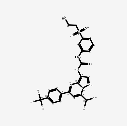 O=C(Nc1cccc(S(=O)(=O)CCO)c1)Oc1cnn2c(C(F)F)cc(-c3ccc(C(F)(F)F)cc3)nc12